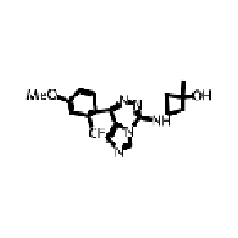 COc1ccc(-c2nnc(NC3CC(C)(O)C3)n3cncc23)c(C(F)(F)F)c1